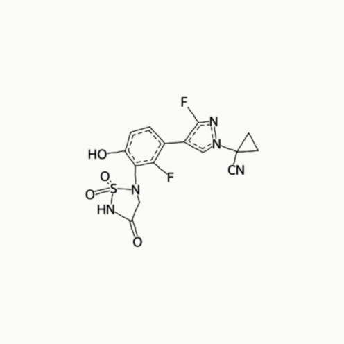 N#CC1(n2cc(-c3ccc(O)c(N4CC(=O)NS4(=O)=O)c3F)c(F)n2)CC1